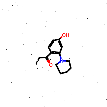 CCC(=O)c1ccc(O)cc1N1CCCCC1